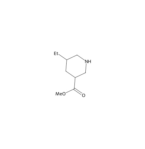 CCC1CNCC(C(=O)OC)C1